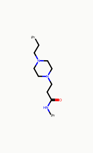 CC(C)CCN1CCN(CCC(=O)NC(C)C)CC1